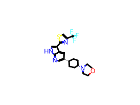 FC(F)(F)c1csc(-c2c[nH]c3ncc([C@H]4CC[C@@H](N5CCOCC5)CC4)cc23)n1